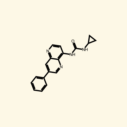 O=C(Nc1ccnc2cc(-c3ccccc3)cnc12)NC1CC1